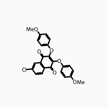 COc1ccc(OC2=C(Oc3ccc(OC)cc3)C(=O)c3cc(Cl)ccc3C2=O)cc1